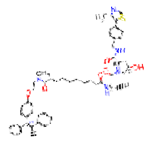 CC/C(=C(\c1ccccc1)c1ccc(OCCN(C)C(=O)CCCCCCCCC(=O)N[C@H](C(=O)N2C[C@H](O)C[C@H]2C(=O)NCc2ccc(-c3scnc3C)cc2)C(C)(C)C)cc1)c1ccccc1